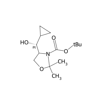 CC(C)(C)OC(=O)N1C([C@H](O)C2CC2)COC1(C)C